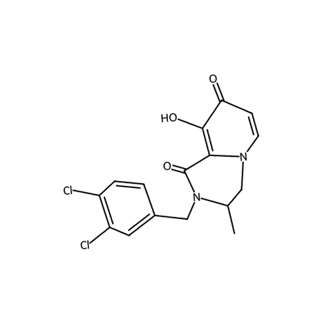 CC1Cn2ccc(=O)c(O)c2C(=O)N1Cc1ccc(Cl)c(Cl)c1